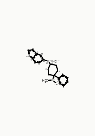 CN(C)C1(c2ccccc2)CCC(Nc2ccc3sccc3c2)CC1.Cl